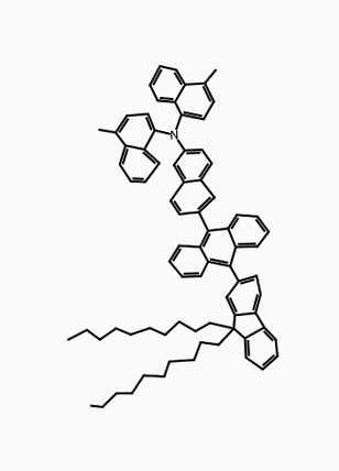 CCCCCCCCCCC1(CCCCCCCCCC)c2ccccc2-c2ccc(-c3c4ccccc4c(-c4ccc5cc(N(c6ccc(C)c7ccccc67)c6ccc(C)c7ccccc67)ccc5c4)c4ccccc34)cc21